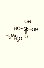 O.[MgH2].[O]=[Sb]([OH])([OH])[OH]